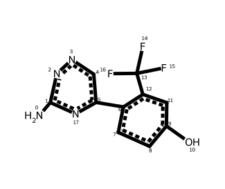 Nc1nncc(-c2ccc(O)cc2C(F)(F)F)n1